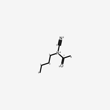 CCCCN(C#N)C(C)=O